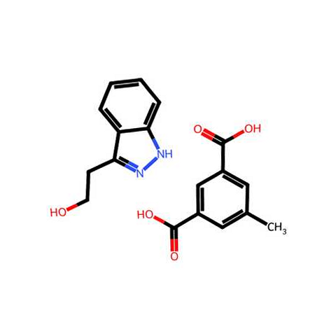 Cc1cc(C(=O)O)cc(C(=O)O)c1.OCCc1n[nH]c2ccccc12